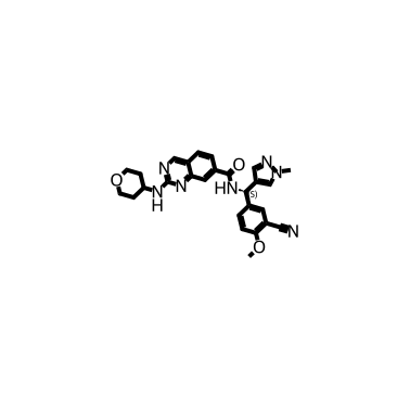 COc1ccc([C@H](NC(=O)c2ccc3cnc(NC4CCOCC4)nc3c2)c2cnn(C)c2)cc1C#N